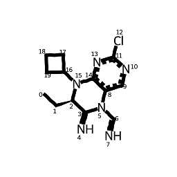 CC[C@@H]1C(=N)N(C=N)c2cnc(Cl)nc2N1C1CCC1